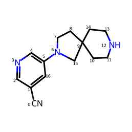 N#Cc1cncc(N2CCC3(CCNCC3)C2)c1